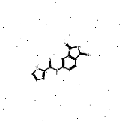 O=C(Nc1ccc2c(c1)C(=O)NC2=O)c1cccs1